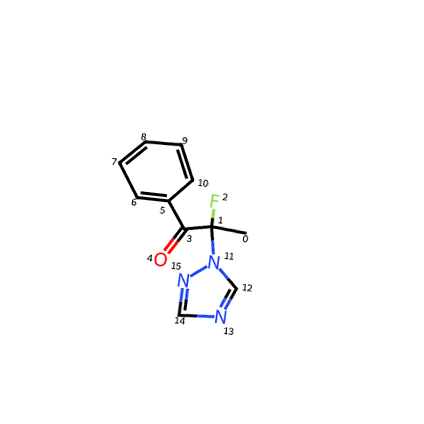 CC(F)(C(=O)c1ccccc1)n1cncn1